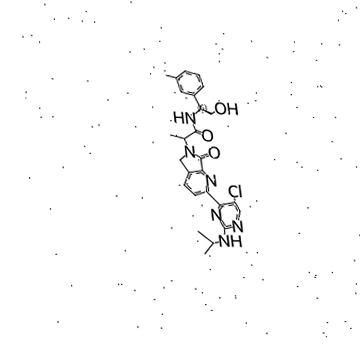 Cc1cccc([C@@H](CO)NC(=O)C(C)N2Cc3ccc(-c4nc(NC(C)C)ncc4Cl)nc3C2=O)c1